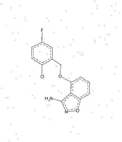 Nc1noc2cccc(OCc3cc(F)ccc3Cl)c12